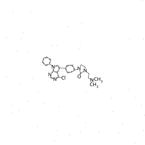 CN(C)CCN1CCN(c2ccc(-c3cn(-c4ccccc4)c4ncnc(Cl)c34)cc2)C1=O